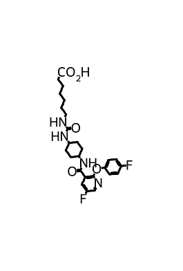 O=C(O)CCCCCCNC(=O)NC1CCC(NC(=O)c2cc(F)cnc2Oc2ccc(F)cc2)CC1